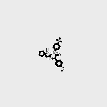 COc1ccc(C(NC(=O)CC2(O)CCCC2)C(=O)Nc2ccc(S(C)(C)C)cc2)cc1